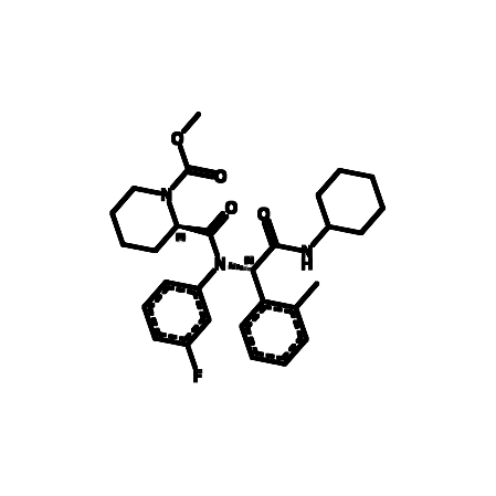 COC(=O)N1CCCC[C@@H]1C(=O)N(c1cccc(F)c1)[C@H](C(=O)NC1CCCCC1)c1ccccc1C